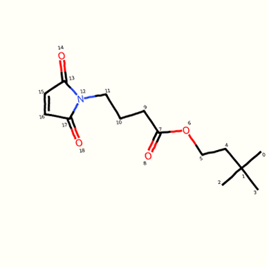 CC(C)(C)CCOC(=O)CCCN1C(=O)C=CC1=O